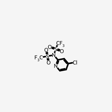 O=S(=O)(N(c1cc(Cl)ccn1)S(=O)(=O)C(F)(F)F)C(F)(F)F